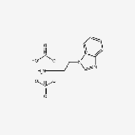 NC(CCn1cnc2ccccc21)(O[PH](=O)O)O[PH](=O)O